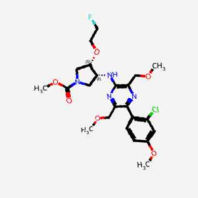 COCc1nc(-c2ccc(OC)cc2Cl)c(COC)nc1N[C@@H]1CN(C(=O)OC)C[C@@H]1OCCF